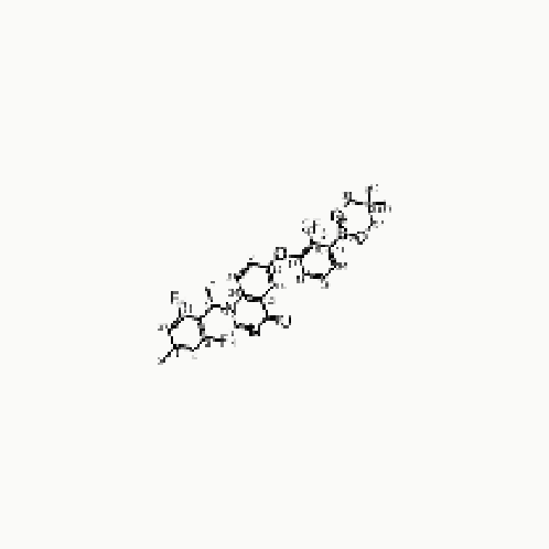 Cc1cc(F)c([C@@H](C)n2cnc(=O)c3cc(Oc4cccc(B5OCC(C)(C)CO5)c4C(F)(F)F)ccc32)c(F)c1